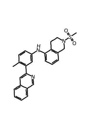 Cc1ccc(Nc2cccc3c2CCN(S(C)(=O)=O)C3)cc1-c1cc2ccccc2cn1